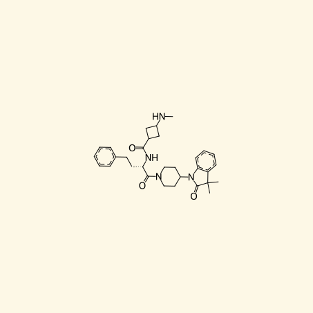 CNC1CC(C(=O)N[C@@H](CCc2ccccc2)C(=O)N2CCC(N3C(=O)C(C)(C)c4ccccc43)CC2)C1